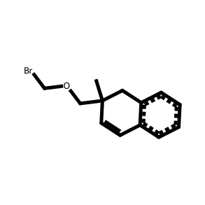 CC1(COCBr)C=Cc2ccccc2C1